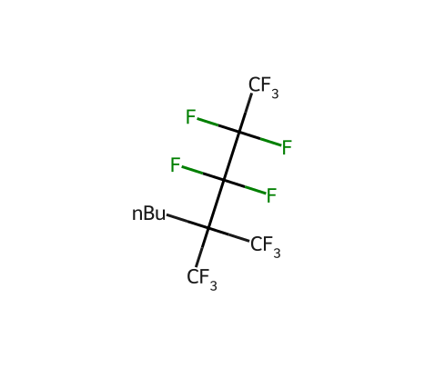 CCCCC(C(F)(F)F)(C(F)(F)F)C(F)(F)C(F)(F)C(F)(F)F